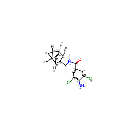 Nc1c(Cl)cc(C(=O)N2CC3[C@@H](C2)[C@H]2C=C[C@@H]3[C@@H]3C[C@H]23)cc1Cl